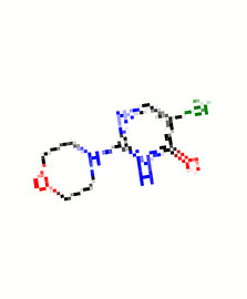 O=c1[nH]c(N2CCOCC2)ncc1Br